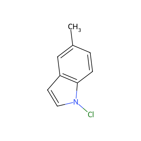 Cc1ccc2c(ccn2Cl)c1